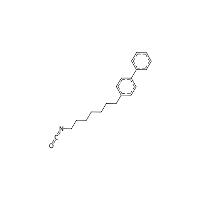 O=C=NCCCCCCCc1ccc(-c2ccccc2)cc1